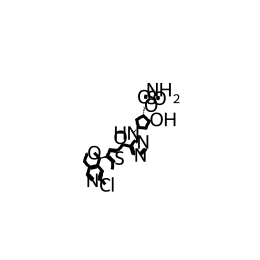 Cc1sc(C(=O)c2cncnc2N[C@@H]2C[C@H](COS(N)(=O)=O)[C@@H](O)C2)cc1[C@@H]1OCCc2cnc(Cl)cc21